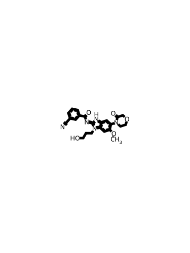 COc1cc2c(cc1N1CCOCC1=O)[nH]/c(=N\C(=O)c1cccc(C#N)c1)n2CCCO